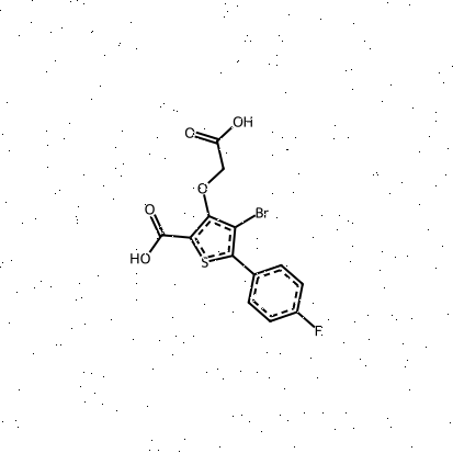 O=C(O)COc1c(C(=O)O)sc(-c2ccc(F)cc2)c1Br